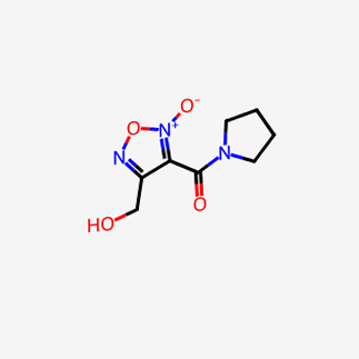 O=C(c1c(CO)no[n+]1[O-])N1CCCC1